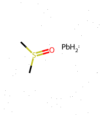 CS(C)=O.[PbH2]